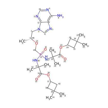 C[C@H](Cn1cnc2c(N)ncnc21)OCP(=O)(NC(C)(C)C(=O)OC1CC(C)(C)C1)NC(C)(C)C(=O)OC1CC(C)(C)C1